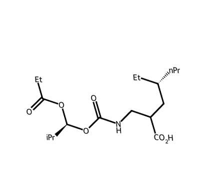 CCC[C@@H](CC)CC(CNC(=O)O[C@H](OC(=O)CC)C(C)C)C(=O)O